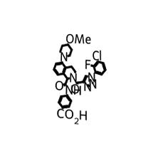 COC1CCN(c2cccc3c2CCN(C(=O)c2cn(-c4cccc(Cl)c4F)nn2)C3C(=O)Nc2ccc(C(=O)O)cc2)CC1